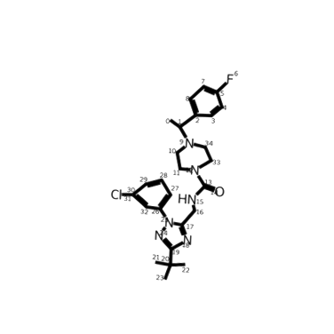 CC(c1ccc(F)cc1)N1CCN(C(=O)NCc2nc(C(C)(C)C)nn2-c2cccc(Cl)c2)CC1